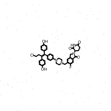 O=C1CCC(N2Cc3cc(CN4CCN(c5ccc(/C(=C(/CCCl)c6ccc(O)cc6)c6ccc(O)cc6)cc5)CC4)c(F)cc3C2=O)C(=O)N1